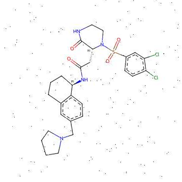 O=C(C[C@@H]1C(=O)NCCN1S(=O)(=O)c1ccc(Cl)c(Cl)c1)N[C@@H]1CCCc2cc(CN3CCCC3)ccc21